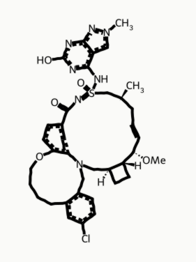 CO[C@H]1/C=C/C[C@H](C)CS(=O)(Nc2nc(O)nc3nn(C)cc23)=NC(=O)c2ccc3c(c2)N(Cc2ccc(Cl)cc2CCCCO3)C[C@@H]2CC[C@H]21